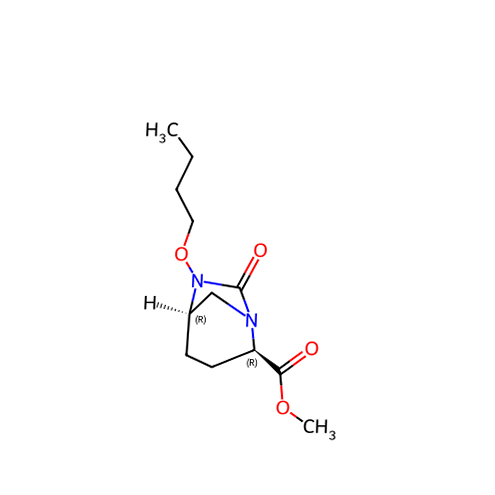 CCCCON1C(=O)N2C[C@H]1CC[C@@H]2C(=O)OC